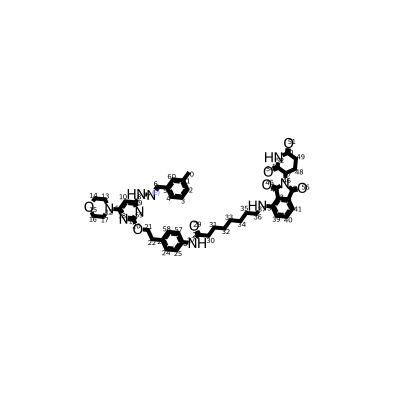 Cc1cccc(/C=N/Nc2cc(N3CCOCC3)nc(OCCc3ccc(NC(=O)CCCCCCCNc4cccc5c4C(=O)N(C4CCC(=O)NC4=O)C5=O)cc3)n2)c1